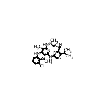 COc1c(Cl)cccc1Nc1cc(Nc2cnc(C(C)C)c(C#N)n2)nc(NN(C)C=O)c1C